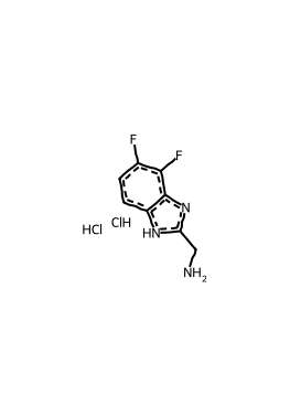 Cl.Cl.NCc1nc2c(F)c(F)ccc2[nH]1